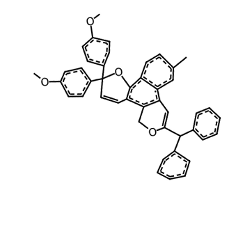 COc1ccc(C2(c3ccc(OC)cc3)C=Cc3c4c(c5cc(C)ccc5c3O2)C=C(C(c2ccccc2)c2ccccc2)OC4)cc1